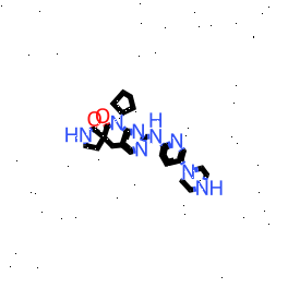 O=C1NCCC12Cc1cnc(Nc3ccc(N4CCNCC4)cn3)nc1N(C1CCCC1)C2=O